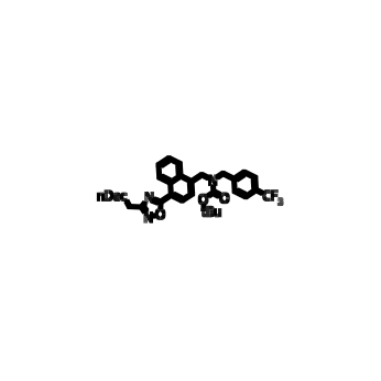 CCCCCCCCCCCc1noc(-c2ccc(CN(Cc3ccc(C(F)(F)F)cc3)C(=O)OC(C)(C)C)c3ccccc23)n1